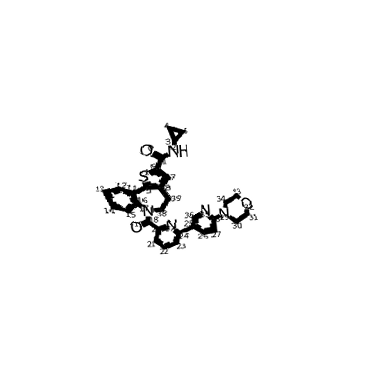 O=C(NC1CC1)c1cc2c(s1)-c1ccccc1N(C(=O)c1cccc(-c3ccc(N4CCOCC4)nc3)n1)CC2